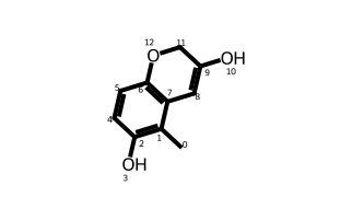 Cc1c(O)ccc2c1C=C(O)CO2